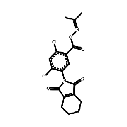 CC(C)=NOC(=O)c1cc(N2C(=O)C3=C(CCCC3)C2=O)c(Cl)cc1Cl